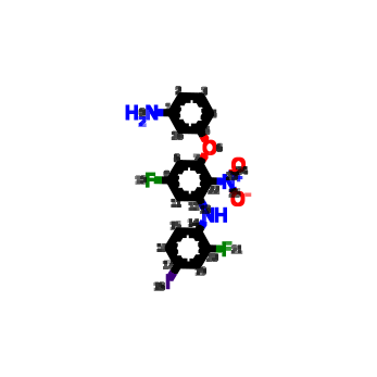 Nc1cccc(Oc2cc(F)cc(Nc3ccc(I)cc3F)c2[N+](=O)[O-])c1